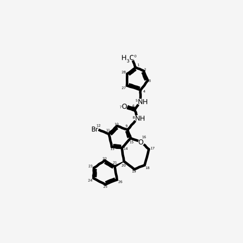 Cc1ccc(NC(=O)Nc2cc(Br)cc3c2OCCC[C@H]3c2ccccc2)cc1